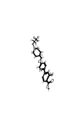 COC(=O)c1ccc(-c2ccc(OCC3CCN(CC(C)(C)C(F)(F)F)CC3)cn2)cc1F